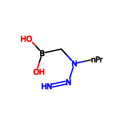 CCCN(CB(O)O)N=N